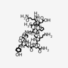 CC(C)C[C@H](NC(=O)[C@@H]1CCCN1C(=O)[C@H](CC(=O)O)NC(=O)[C@@H](N)CCC(N)=O)C(=O)NCC(=O)N[C@@H](CCCCN)C(=O)N[C@@H](CCC(N)=O)C(=O)NCC(=O)N[C@@H](Cc1ccc(O)cc1)C(=O)N[C@@H](CCC(N)=O)C(=O)O